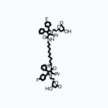 CC(C)c1c(C(=O)NCCCCCCCCCCNC(=O)c2c(-c3ccccc3)c(-c3ccc(F)cc3)n(CC[C@@H]3C[C@@H](O)CC(=O)O3)c2C(C)C)c(-c2ccccc2)c(-c2ccc(F)cc2)n1CC[C@@H]1C[C@@H](O)CC(=O)O1